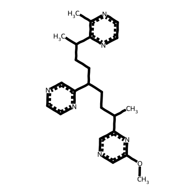 COc1cncc(C(C)CCC(CCC(C)c2nccnc2C)c2cnccn2)n1